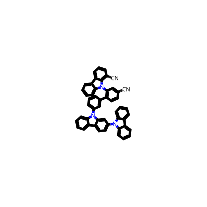 N#Cc1ccc(-c2cccc(-n3c4ccccc4c4ccc(-n5c6ccccc6c6ccccc65)cc43)c2)c(-n2c3ccccc3c3cccc(C#N)c32)c1